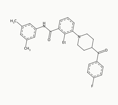 CCc1c(C(=O)Nc2cc(C)cc(C)c2)cccc1N1CCC(C(=O)c2ccc(F)cc2)CC1